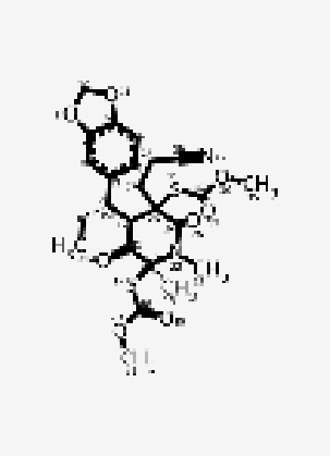 CC[C@H](c1ccc2c(c1)OCO2)C1C(=O)[C@](C)(SC(=O)OC)N(C)C(=O)C1(CCC#N)SC(=O)OC